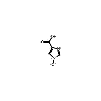 O=C(O)c1c[s+]([O-])cn1